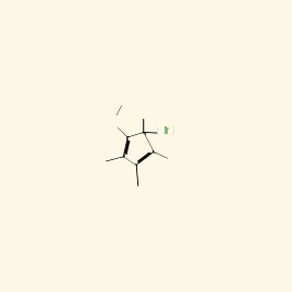 Cl.Cl.[CH3][Hf][C]1=C(C)C(C)=C(C)C1(C)C